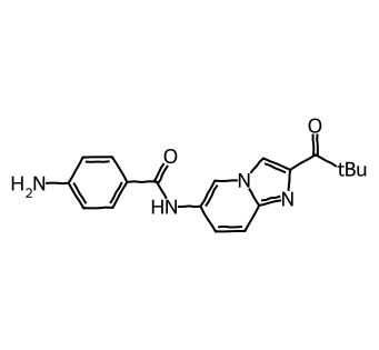 CC(C)(C)C(=O)c1cn2cc(NC(=O)c3ccc(N)cc3)ccc2n1